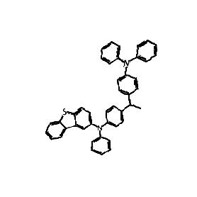 CC(c1ccc(N(c2ccccc2)c2ccccc2)cc1)c1ccc(N(c2ccccc2)c2ccc3sc4ccccc4c3c2)cc1